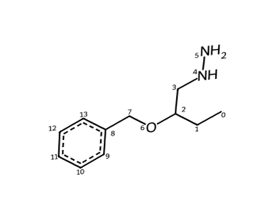 CCC(CNN)OCc1ccccc1